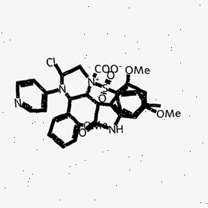 COc1ccc(S(=O)(=O)[N+]2(C(=O)[O-])CC(Cl)N(c3ccncc3)C(c3ccccc3OC)C2C2C(=O)Nc3cc(C)ccc32)c(OC)c1